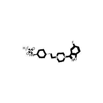 CS(=O)(=O)N[C@H]1CC[C@H](CCN2CCN(c3noc4ccc(F)cc34)CC2)CC1